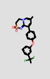 CC1=CN2CCS(=O)(=O)N=C2C(c2ccc(Oc3cccc(C(C)(F)F)c3)cc2)=C1